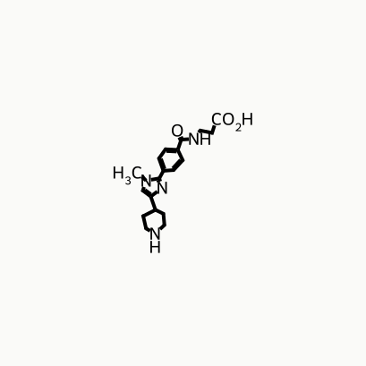 Cn1cc(C2CCNCC2)nc1-c1ccc(C(=O)NCCC(=O)O)cc1